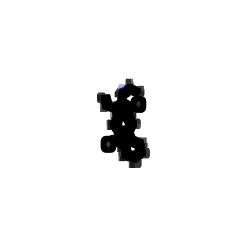 C=Cc1c(/C=C\C)c(=O)c2cc3c(cc12)c(=O)c1ccccc13